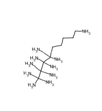 NCCCCCC(N)(N)C(N)(N)C(N)(N)C(N)(N)N